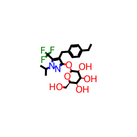 CCc1ccc(Cc2c(O[C@@H]3O[C@H](CO)[C@@H](O)[C@H](O)[C@H]3O)nn(C(C)C)c2C(F)(F)F)cc1